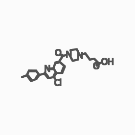 Cc1ccc(-c2cc(Cl)c3ccc(C(=O)N4CCN(CCCC(=O)O)CC4)cc3n2)cc1